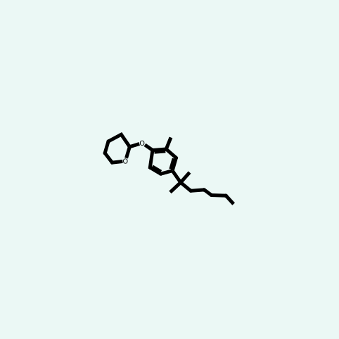 CCCCCC(C)(C)c1ccc(OC2CCCCO2)c(C)c1